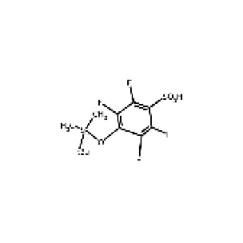 CC(C)(C)[Si](C)(C)Oc1c(F)c(F)c(S(=O)(=O)O)c(F)c1F